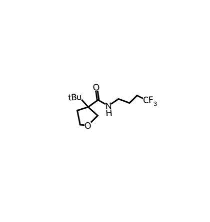 CC(C)(C)C1(C(=O)NCCCC(F)(F)F)CCOC1